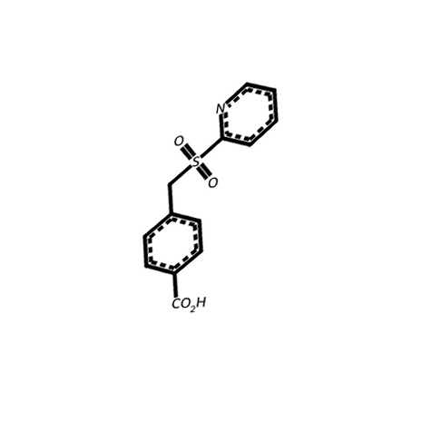 O=C(O)c1ccc(CS(=O)(=O)c2ccccn2)cc1